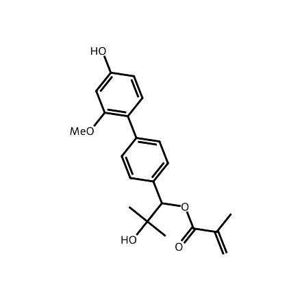 C=C(C)C(=O)OC(c1ccc(-c2ccc(O)cc2OC)cc1)C(C)(C)O